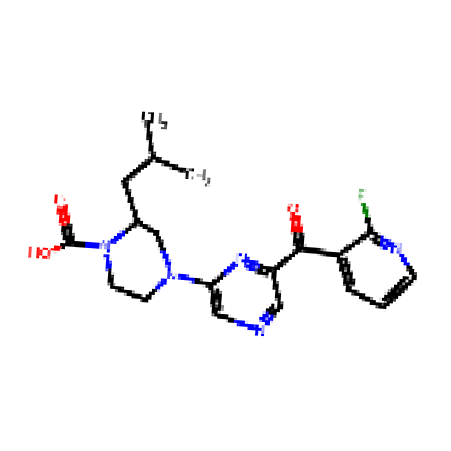 CC(C)CC1CN(c2cncc(C(=O)c3cccnc3F)n2)CCN1C(=O)O